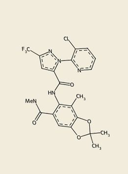 CNC(=O)c1cc2c(c(C)c1NC(=O)c1cc(C(F)(F)F)nn1-c1ncccc1Cl)OC(C)(C)O2